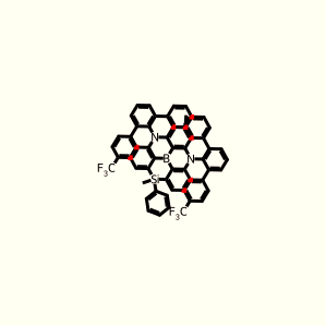 Cc1cc2c3c(c1)N(c1c(-c4ccccc4)cccc1-c1ccc(C(F)(F)F)cc1)c1cccc4c1B3c1c(cccc1[Si]4(C)c1ccccc1)N2c1c(-c2ccccc2)cccc1-c1ccc(C(F)(F)F)cc1